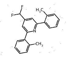 Cc1ccccc1-c1cc(C(F)F)cc(-c2ccccc2C)n1